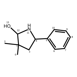 CC1(C)CC(c2ccccc2)NC1O